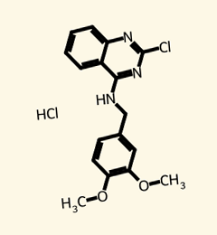 COc1ccc(CNc2nc(Cl)nc3ccccc23)cc1OC.Cl